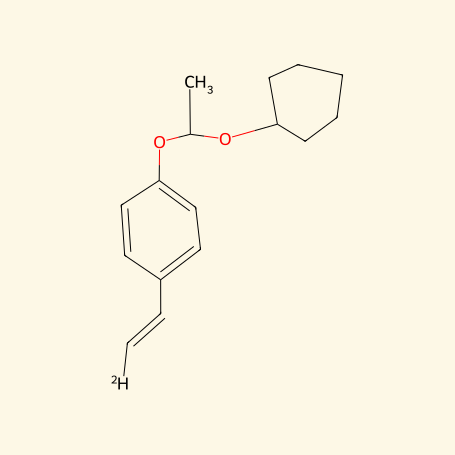 [2H]/C=C/c1ccc(OC(C)OC2CCCCC2)cc1